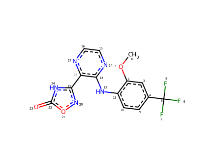 COc1cc(C(F)(F)F)ccc1Nc1nccnc1-c1noc(=O)[nH]1